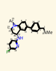 CNCc1ccc(-c2ccc3c(c2)[C@H](Nc2ccc(F)cn2)C[C@H](C)N3C(C)=O)cc1